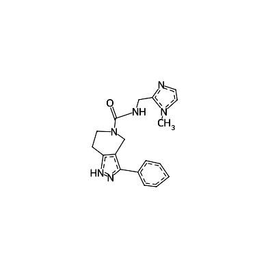 Cn1ccnc1CNC(=O)N1CCc2[nH]nc(-c3ccccc3)c2C1